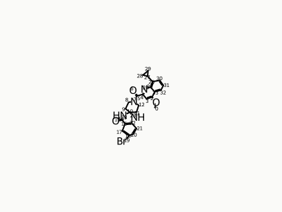 COc1cc(C(=O)N2CCC3(CC2)NC(=O)c2cc(Br)ccc2N3)nc2c(C3CC3)cccc12